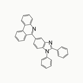 c1ccc(-c2nc3cc(-c4nc5ccccc5c5ccccc45)ccc3n2-c2ccccc2)cc1